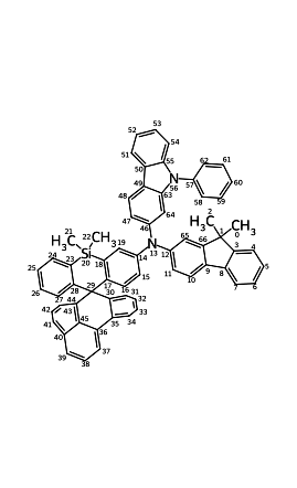 CC1(C)c2ccccc2-c2ccc(N(c3ccc4c(c3)[Si](C)(C)c3ccccc3C43c4ccccc4-c4cccc5cccc3c45)c3ccc4c5ccccc5n(-c5ccccc5)c4c3)cc21